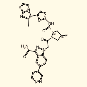 Cc1nc2sccn2c1-c1csc(NC(=O)[C@@H]2C[C@@H](F)CN2C(=O)Cn2nc(C(N)=O)c3cc(-c4ccnnc4)ccc32)n1